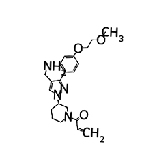 C=CC(=O)N1CCC[C@@H](n2cc(CN)c(-c3ccc(OCCOC)cc3)n2)C1